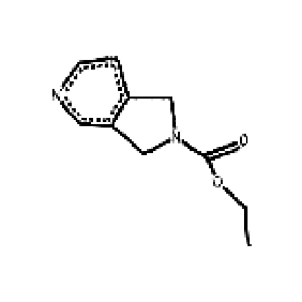 CCOC(=O)N1Cc2ccncc2C1